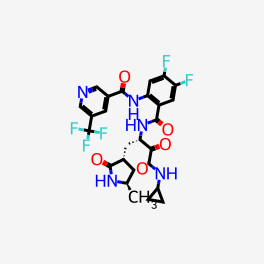 C[C@@H]1C[C@@H](C[C@H](NC(=O)c2cc(F)c(F)cc2NC(=O)c2cncc(C(F)(F)F)c2)C(=O)C(=O)NC2CC2)C(=O)N1